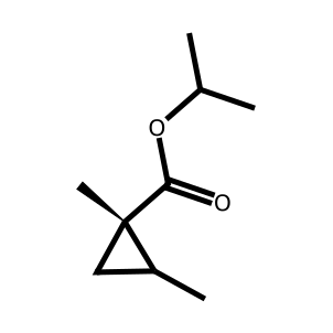 CC(C)OC(=O)[C@@]1(C)CC1C